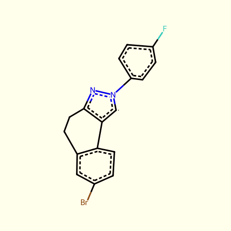 Fc1ccc(-n2[c]c3c(n2)CCc2cc(Br)ccc2-3)cc1